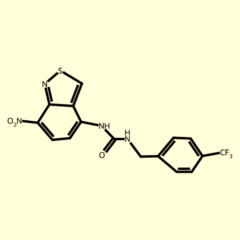 O=C(NCc1ccc(C(F)(F)F)cc1)Nc1ccc([N+](=O)[O-])c2nscc12